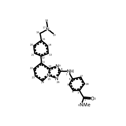 CNC(=O)c1ccc(Nc2nc3c(-c4ccc(CN(C)C)cc4)cccn3n2)cc1